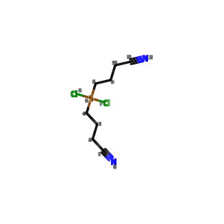 N#CCCCS(Cl)(Cl)CCCC#N